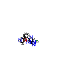 NC(=O)C1(c2cc3cnn(F)c3cn2)CCCCC1c1cccnc1